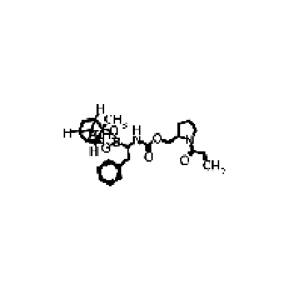 C=CC(=O)N1CCCC1COC(=O)N[C@@H](Cc1ccccc1)B1O[C@@H]2C[C@@H]3C[C@@H](C3(C)C)[C@]2(C)O1